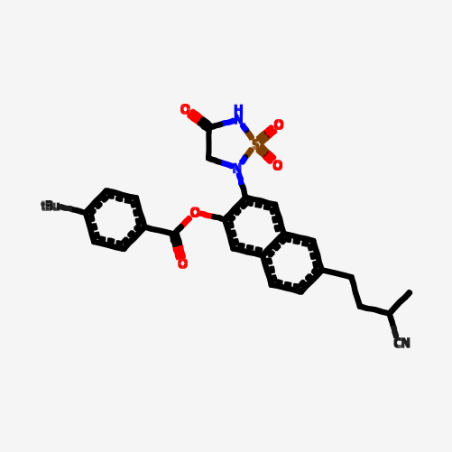 CC(C#N)CCc1ccc2cc(OC(=O)c3ccc(C(C)(C)C)cc3)c(N3CC(=O)NS3(=O)=O)cc2c1